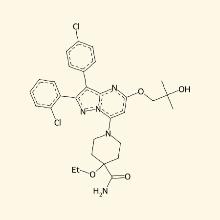 CCOC1(C(N)=O)CCN(c2cc(OCC(C)(C)O)nc3c(-c4ccc(Cl)cc4)c(-c4ccccc4Cl)nn23)CC1